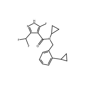 O=C(c1c(C(F)F)n[nH]c1F)N(Cc1ccccc1C1CC1)C1CC1